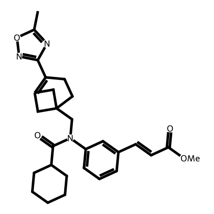 COC(=O)/C=C/c1cccc(N(CC23CCC(c4noc(C)n4)=C(C2)C3)C(=O)C2CCCCC2)c1